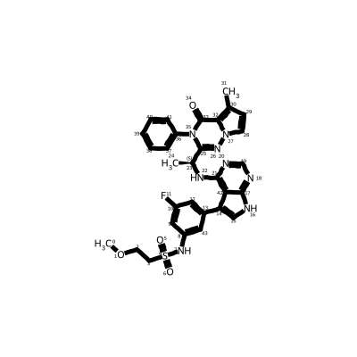 COCCS(=O)(=O)Nc1cc(F)cc(-c2c[nH]c3ncnc(N[C@@H](C)c4nn5ccc(C)c5c(=O)n4-c4ccccc4)c23)c1